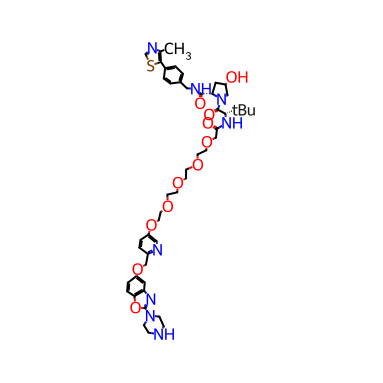 Cc1ncsc1-c1ccc(CNC(=O)[C@@H]2C[C@@H](O)CN2C(=O)[C@@H](NC(=O)COCCOCCOCCOCCOc2ccc(COc3ccc4oc(N5CCNCC5)nc4c3)nc2)C(C)(C)C)cc1